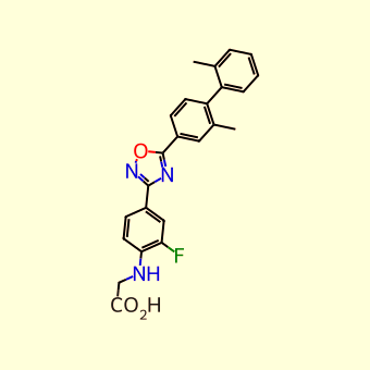 Cc1ccccc1-c1ccc(-c2nc(-c3ccc(NCC(=O)O)c(F)c3)no2)cc1C